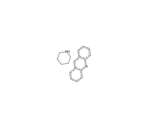 C1CCNCC1.c1ccc2nc3ccccc3cc2c1